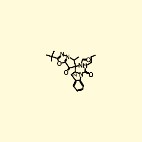 CCCOC(=O)N1c2ccccc2C[C@H]1C(NC=O)(C(=O)c1nnc(C(C)(C)C)o1)C(C)C